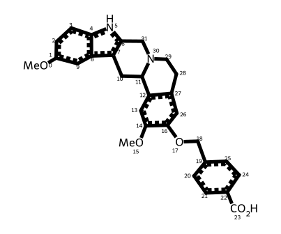 COc1ccc2[nH]c3c(c2c1)CC1c2cc(OC)c(OCc4ccc(C(=O)O)cc4)cc2CCN1C3